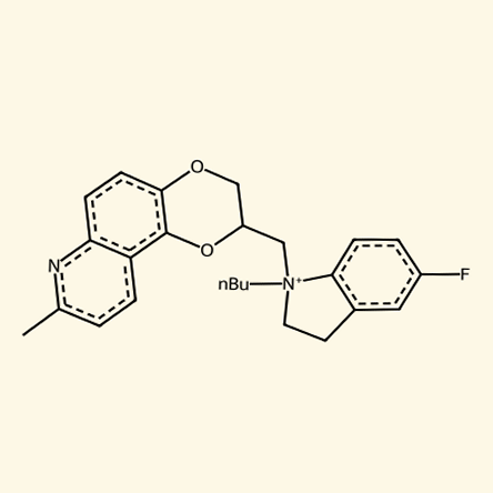 CCCC[N+]1(CC2COc3ccc4nc(C)ccc4c3O2)CCc2cc(F)ccc21